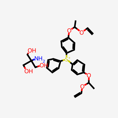 C=COC(C)Oc1ccc([S+](c2ccccc2)c2ccc(OC(C)OC=C)cc2)cc1.NC(CO)(CO)CO